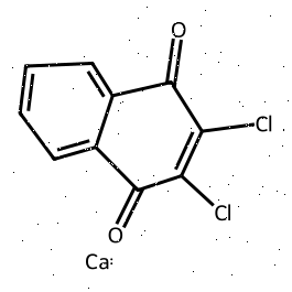 O=C1C(Cl)=C(Cl)C(=O)c2ccccc21.[Ca]